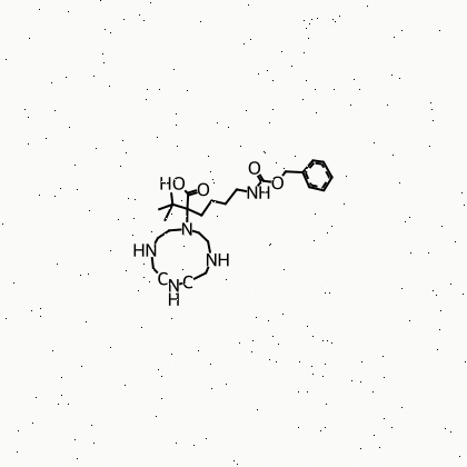 CC(C)(C)C(CCCCNC(=O)OCc1ccccc1)(C(=O)O)N1CCNCCNCCNCC1